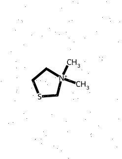 C[N+]1(C)CCSC1